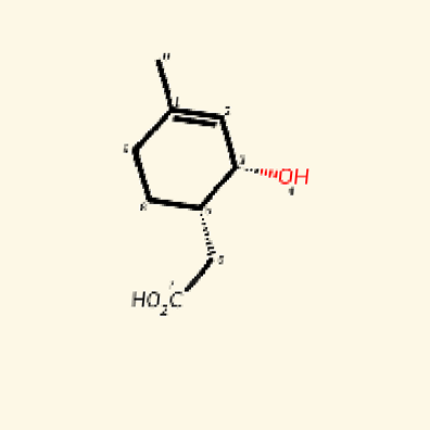 CC1=C[C@H](O)[C@H](CC(=O)O)CC1